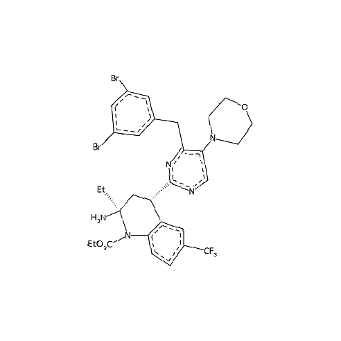 CCOC(=O)N1c2ccc(C(F)(F)F)cc2[C@@H](c2ncc(N3CCOCC3)c(Cc3cc(Br)cc(Br)c3)n2)C[C@@]1(N)CC